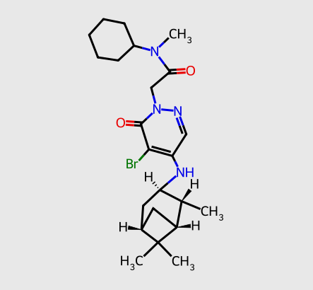 C[C@@H]1[C@H]2C[C@@H](C[C@H]1Nc1cnn(CC(=O)N(C)C3CCCCC3)c(=O)c1Br)C2(C)C